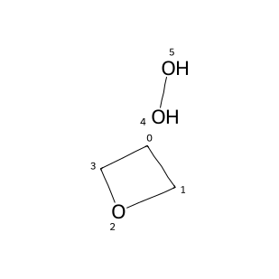 C1COC1.OO